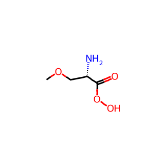 COC[C@H](N)C(=O)OO